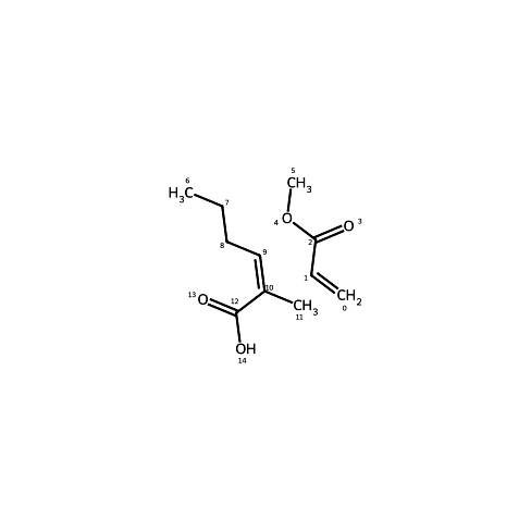 C=CC(=O)OC.CCCC=C(C)C(=O)O